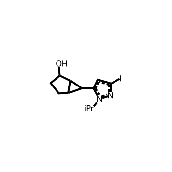 CC(C)n1nc(I)cc1C1C2CCC(O)C21